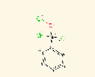 ClO[Si](Cl)(Cl)c1ccccc1